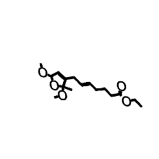 CCOC(=O)CCCC=CCC1=CC(OC)OC1(C)OC